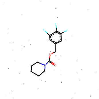 O=C(OCc1cc(F)c(F)c(F)c1)N1CCCCC1